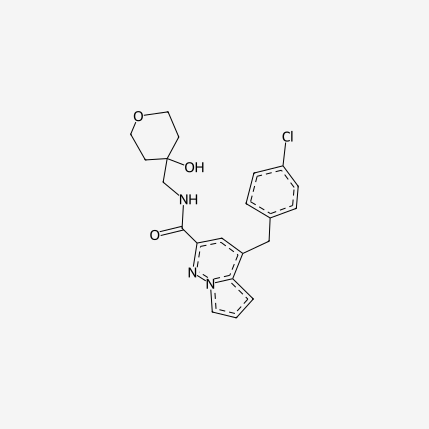 O=C(NCC1(O)CCOCC1)c1cc(Cc2ccc(Cl)cc2)c2cccn2n1